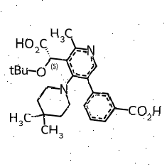 Cc1ncc(-c2cccc(C(=O)O)c2)c(N2CCC(C)(C)CC2)c1[C@H](OC(C)(C)C)C(=O)O